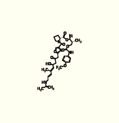 C=C(C)NC/C=C/C(C)=C/[C@@H](O)CC(=O)Cc1nc(C(=O)N2CCC[C@@H]2C(=O)O[C@@H](CC)[C@H](C)COC(=O)Nc2ccc(OC(F)(F)F)cc2)co1